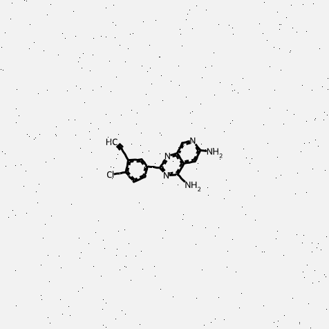 C#Cc1cc(-c2nc(N)c3cc(N)ncc3n2)ccc1Cl